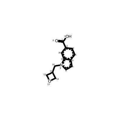 O=C(O)c1ccc2ccn(CC3COC3)c2c1